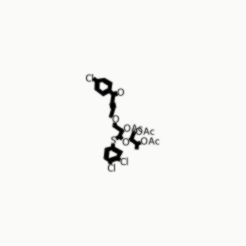 CC(=O)OCC(OC(Sc1ccc(Cl)c(Cl)c1)C(COCC#CC(=O)c1ccc(Cl)cc1)OC(C)=O)C(C)OC(C)=O